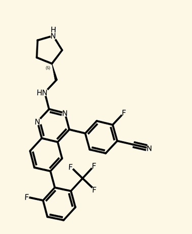 N#Cc1ccc(-c2nc(NC[C@H]3CCNC3)nc3ccc(-c4c(F)cccc4C(F)(F)F)cc23)cc1F